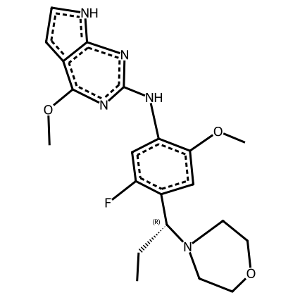 CC[C@H](c1cc(OC)c(Nc2nc(OC)c3cc[nH]c3n2)cc1F)N1CCOCC1